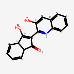 O=C1C(c2nc3ccccc3cc2O)=C(O)C2C=CC=CC12